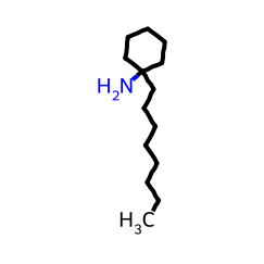 CCCCCCCCC1(N)CCCCC1